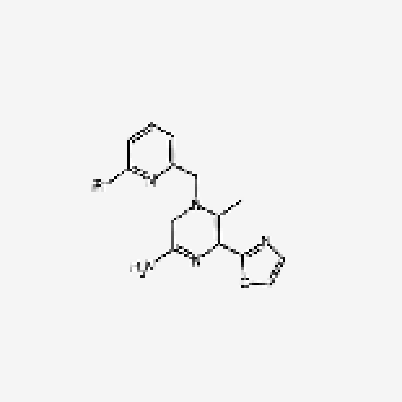 CC1=C(c2ncco2)N=C(N)CN1Cc1cccc(C(C)C)n1